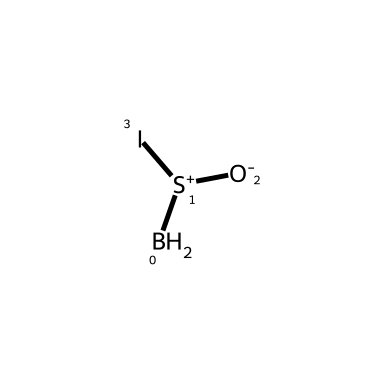 B[S+]([O-])I